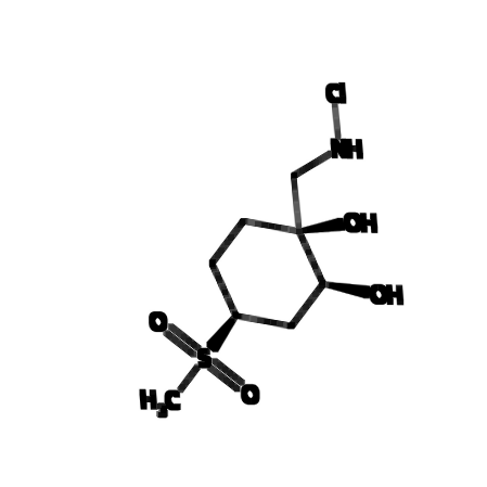 CS(=O)(=O)[C@H]1CC[C@](O)(CNCl)[C@@H](O)C1